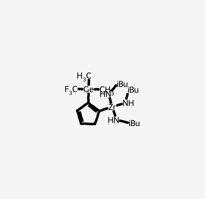 CCC(C)[NH][Zr]([NH]C(C)CC)([NH]C(C)CC)[C]1=[C]([Ge]([CH3])([CH3])[C](F)(F)F)C=CC1